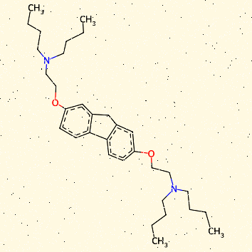 CCCCN(CCCC)CCOc1ccc2c(c1)Cc1cc(OCCN(CCCC)CCCC)ccc1-2